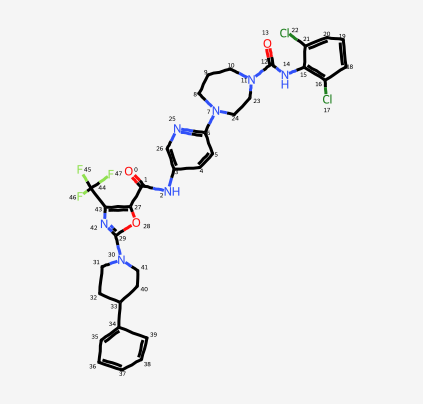 O=C(Nc1ccc(N2CCCN(C(=O)Nc3c(Cl)cccc3Cl)CC2)nc1)c1oc(N2CCC(c3ccccc3)CC2)nc1C(F)(F)F